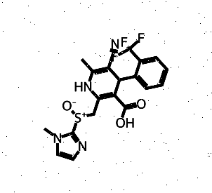 CC1=C(C#N)C(c2ccccc2C(F)(F)F)C(C(=O)O)=C(C[S+]([O-])c2nccn2C)N1